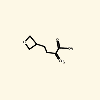 C=C(CCC1COC1)C(=O)O